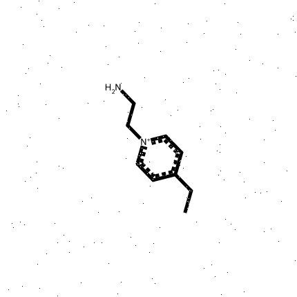 CCc1cc[n+](CCN)cc1